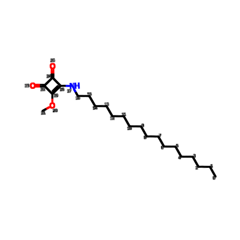 CCCCCCCCCCCCCCCCCNc1c(OC)c(=O)c1=O